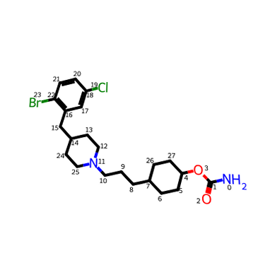 NC(=O)OC1CCC(CCCN2CCC(Cc3cc(Cl)ccc3Br)CC2)CC1